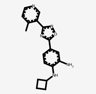 Cc1ccncc1-c1noc(-c2ccc(NC3CCC3)c(N)c2)n1